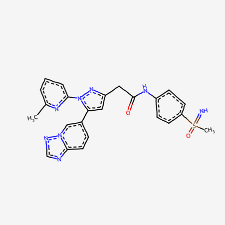 Cc1cccc(-n2nc(CC(=O)Nc3ccc(S(C)(=N)=O)cc3)cc2-c2ccc3ncnn3c2)n1